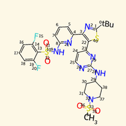 CC(C)(C)c1nc(-c2cccc(NS(=O)(=O)c3c(F)cccc3F)n2)c(-c2ccnc(NC3CCN(S(C)(=O)=O)CC3)n2)s1